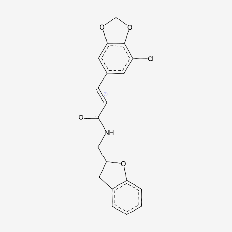 O=C(/C=C/c1cc(Cl)c2c(c1)OCO2)NCC1Cc2ccccc2O1